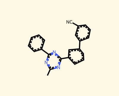 Cc1nc(-c2ccccc2)nc(-c2cccc(-c3cccc(C#N)c3)c2)n1